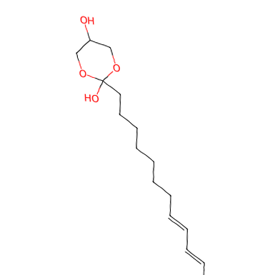 CCCCCC/C=C/C=C/CCCCCCCC1(O)OCC(O)CO1